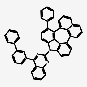 c1ccc(-c2cccc(-c3nc(-n4c5cccc6c5c5c(c(-c7ccccc7)ccc54)-c4cccc5cccc-6c45)nc4ccccc34)c2)cc1